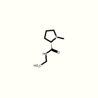 CN1CCC[C@H]1C(=O)NCC(=O)O